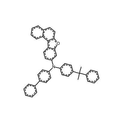 CC(C)(c1ccccc1)c1ccc(N(c2ccc(-c3ccccc3)cc2)c2ccc3c(c2)oc2ccc4ccccc4c23)cc1